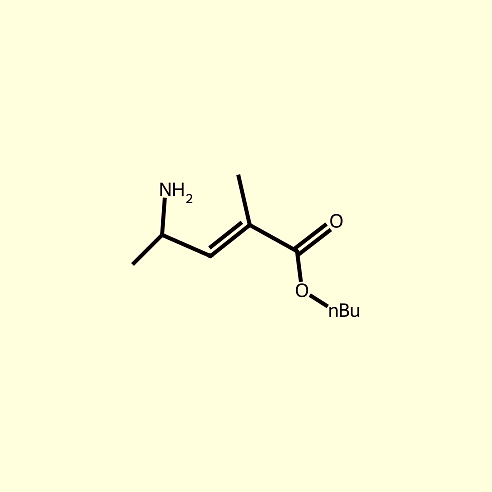 CCCCOC(=O)C(C)=CC(C)N